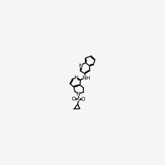 O=S(=O)(C1CC1)N1CCc2c(ccnc2Nc2cnc3ccccc3c2)C1